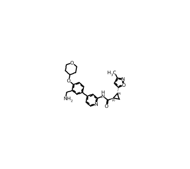 Cc1cc([C@@H]2C[C@H]2C(=O)Nc2cc(-c3ccc(OC4CCOCC4)c(CN)c3)ccn2)on1